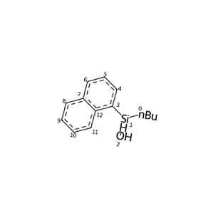 CCCC[SiH](O)c1cccc2ccccc12